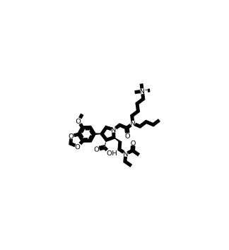 CCCCN(CCCC[N+](C)(C)C)C(=O)CN1C[C@H](c2cc(OC)c3c(c2)OCO3)[C@@H](C(=O)O)[C@@H]1CCN(CC)C(C)=O